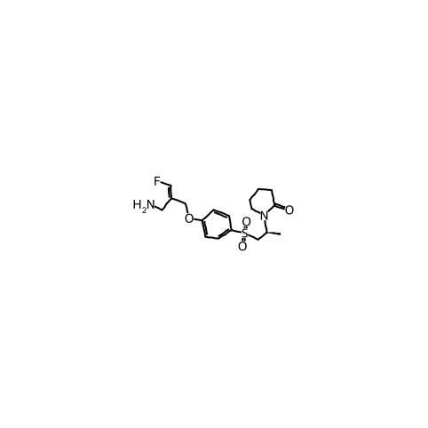 C[C@@H](CS(=O)(=O)c1ccc(OC/C(=C/F)CN)cc1)N1CCCCC1=O